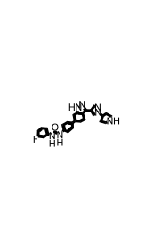 O=C(Nc1ccc(-c2ccc3c(-c4cnn(C5CCNCC5)c4)n[nH]c3c2)cc1)Nc1cccc(F)c1